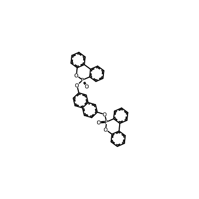 O=P1(Oc2ccc3ccc(OP4(=O)Oc5ccccc5-c5ccccc54)cc3c2)Oc2ccccc2-c2ccccc21